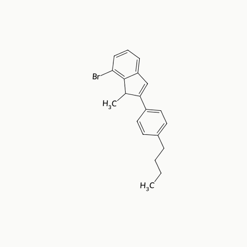 CCCCc1ccc(C2=Cc3cccc(Br)c3C2C)cc1